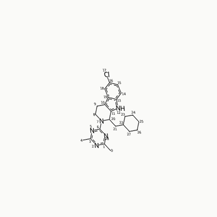 Cc1nc(C)nc(N2CCc3c([nH]c4ccc(Cl)cc34)C2CC2CCCCC2)n1